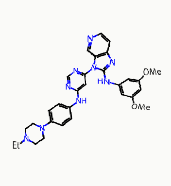 CCN1CCN(c2ccc(Nc3cc(-n4c(Nc5cc(OC)cc(OC)c5)nc5ccncc54)ncn3)cc2)CC1